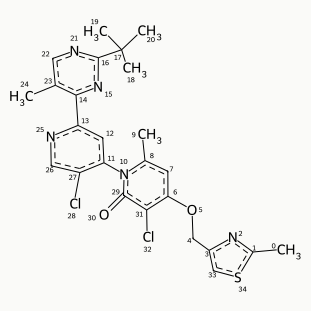 Cc1nc(COc2cc(C)n(-c3cc(-c4nc(C(C)(C)C)ncc4C)ncc3Cl)c(=O)c2Cl)cs1